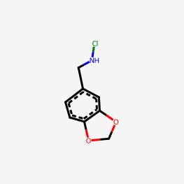 ClNCc1ccc2c(c1)OCO2